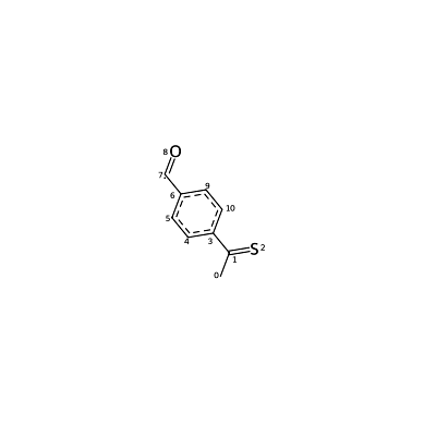 CC(=S)c1ccc([C]=O)cc1